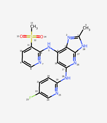 Cc1nc2c(Nc3ncccc3S(C)(=O)=O)cc(Nc3ccc(F)cn3)nc2[nH]1